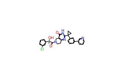 O=C([C@H](O)c1cccc(Cl)c1)N1CCc2nc(C3(c4cccc(-c5cccnc5)c4)CC3)[nH]c(=O)c2C1